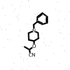 [CH2]C(C#N)OC1CCN(Cc2ccccc2)CC1